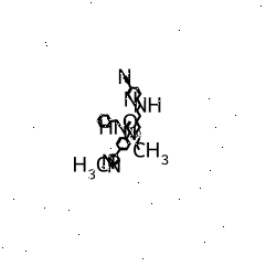 CCC[C@@H](CCCCNc1ccc(C#N)cn1)N(C(=O)NCc1ccccc1)c1ccc(-c2cnn(C)c2)cc1